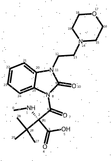 CN[C@@](C(=O)O)(C(=O)n1c(=O)n(CCN2CCOCC2)c2ccccc21)C(C)(C)C